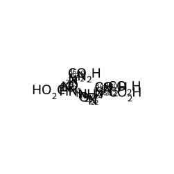 CN(C)CCN(CCN(CC(=O)O)CC(=O)NCCNOCCN(C)CCN(CCN(CC(=O)O)CC(=O)O)CC(=O)O)CC(=O)O